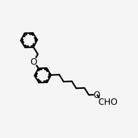 O=COCCCCCCc1cccc(OCc2ccccc2)c1